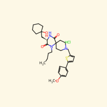 CCCCN1C(=O)[C@@H](CC2(O)CCCCC2)NC(=O)C12CCN(Cc1ccc(-c3ccc(OC)cc3)s1)CC2.Cl